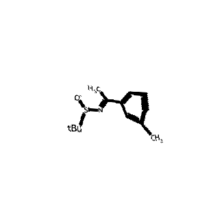 CC(=N[S+]([O-])C(C)(C)C)c1cccc(C)c1